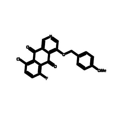 COc1ccc(COc2cncc3c2C(=O)c2c(F)ccc(Cl)c2C3=O)cc1